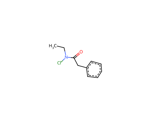 CCN(Cl)C(=O)Cc1ccccc1